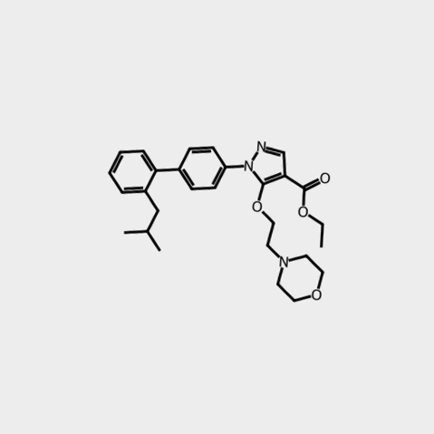 CCOC(=O)c1cnn(-c2ccc(-c3ccccc3CC(C)C)cc2)c1OCCN1CCOCC1